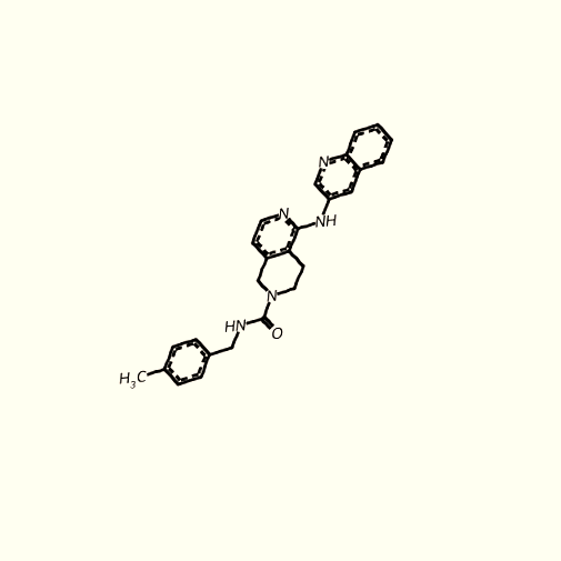 Cc1ccc(CNC(=O)N2CCc3c(ccnc3Nc3cnc4ccccc4c3)C2)cc1